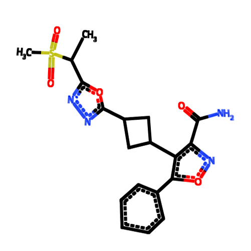 CC(c1nnc(C2CC(c3c(C(N)=O)noc3-c3ccccc3)C2)o1)S(C)(=O)=O